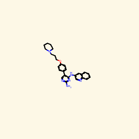 Nc1ncc(-c2ccc(OCCCN3CCCCC3)cc2)c(Nc2cnc3ccccc3c2)n1